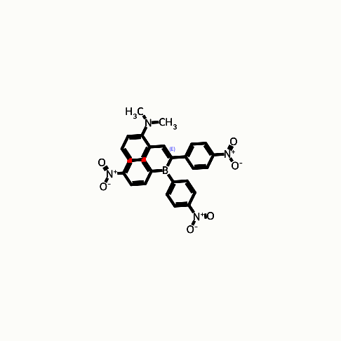 CN(C)c1ccccc1/C=C(\B(c1ccc([N+](=O)[O-])cc1)c1ccc([N+](=O)[O-])cc1)c1ccc([N+](=O)[O-])cc1